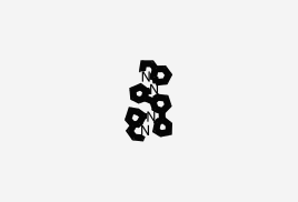 c1cnc2c(-n3c4ccccc4c4c3ccc3c5ccccc5n(-c5cccc6cccnc56)c34)cccc2c1